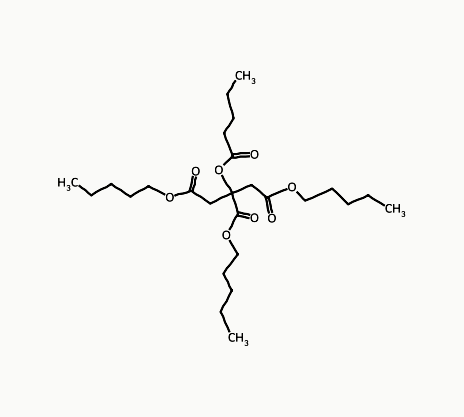 CCCCCOC(=O)CC(CC(=O)OCCCCC)(OC(=O)CCCC)C(=O)OCCCCC